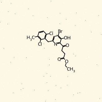 CCOC(=O)CCC(=O)c1nc(Cc2c(Cl)ccc(C)c2Cl)cc(Br)c1O